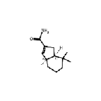 CC1(C)CCC[C@@]2(C)C=C(C(N)=O)C[C@@H]12